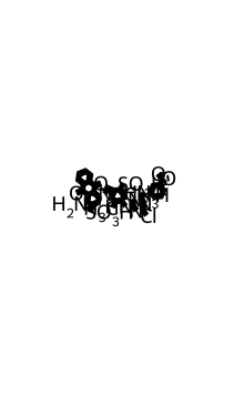 Cc1c(Nc2nc(Cl)nc(Nc3cccc([SH](=O)=O)c3)n2)c(C)c(S(=O)(=O)O)c2c1N(c1cc(S(=O)(=O)O)c(N)c3c1C(=O)c1ccccc1C3=O)C2